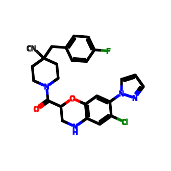 [C-]#[N+]C1(Cc2ccc(F)cc2)CCN(C(=O)C2CNc3cc(Cl)c(-n4cccn4)cc3O2)CC1